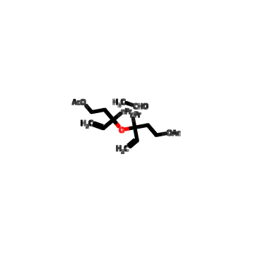 C=CC(CCC)(CCOC(C)=O)OC(C=C)(CCC)CCOC(C)=O.CC=O